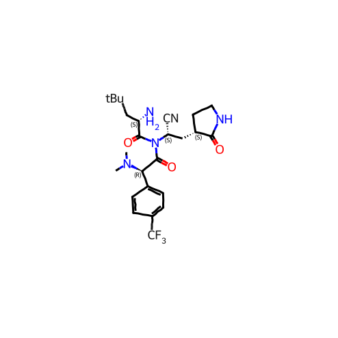 CN(C)[C@@H](C(=O)N(C(=O)[C@@H](N)CC(C)(C)C)[C@H](C#N)C[C@@H]1CCNC1=O)c1ccc(C(F)(F)F)cc1